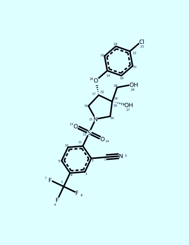 N#Cc1cc(C(F)(F)F)ccc1S(=O)(=O)N1C[C@H](Oc2ccc(Cl)cc2)[C@@](O)(CO)C1